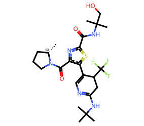 C[C@H]1CCCN1C(=O)c1nc(C(=O)NC(C)(C)CO)sc1C1=CN=C(NC(C)(C)C)CC1C(F)(F)F